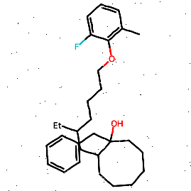 CCC(CCCCOc1c(C)cccc1F)CC1CCCCCCC1(O)Cc1ccccc1